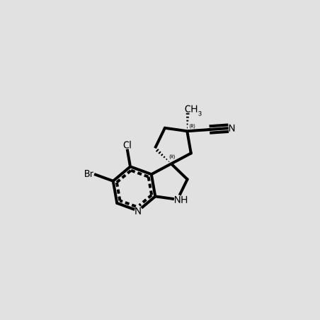 C[C@@]1(C#N)CC[C@@]2(CNc3ncc(Br)c(Cl)c32)C1